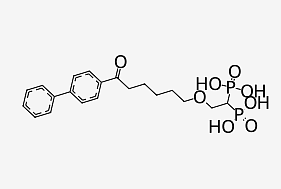 O=C(CCCCCOCC(P(=O)(O)O)P(=O)(O)O)c1ccc(-c2ccccc2)cc1